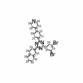 Brc1cc(Br)cc(-c2nc(-c3ccc(-c4ccncc4)cc3)nc(-c3ccc4ccccc4c3)n2)c1